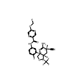 C[C@@]1(C#N)C[C@@H]2[C@@H](C(F)(F)F)OC[C@]2(c2cc(NC(=O)c3cnc(OCF)cn3)ccc2F)N=C1N